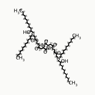 CCCCCCCCCCC(O)CN(CCCCSC(=O)CC1NC(=O)C(CC(=O)SCCCCN(CC(O)CCCCCCCCCC)CC(O)CCCCCCCCCC)NC1=O)CC(O)CCCCCCCCCC